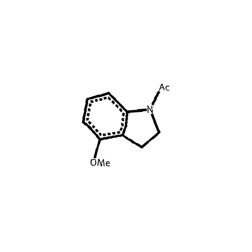 COc1cccc2c1CCN2C(C)=O